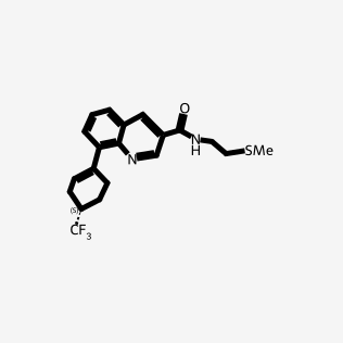 CSCCNC(=O)c1cnc2c(C3=CC[C@@H](C(F)(F)F)CC3)cccc2c1